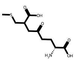 CSCC(CC(=O)CC[C@@H](N)C(=O)O)C(=O)O